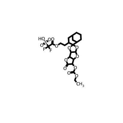 CCOC(=O)OC1C(=O)OC2C3OC4(OC3OC12)C1CCCC(C1)CC4CCOC(=O)C(F)(F)S(=O)(=O)O